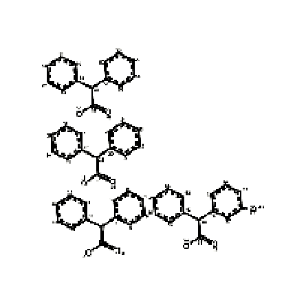 O=C([O-])C(c1ccccc1)c1ccccc1.O=C([O-])C(c1ccccc1)c1ccccc1.O=C([O-])C(c1ccccc1)c1ccccc1.O=C([O-])C(c1ccccc1)c1ccccc1.[Zr+4]